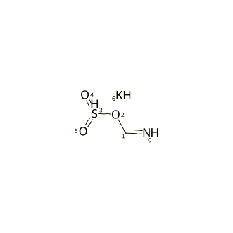 N=CO[SH](=O)=O.[KH]